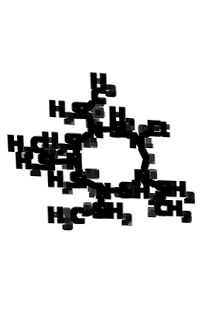 CCN1CN([SiH2]C)[SiH2]N([SiH2]C)[SiH2]N([SiH2]C)[SiH2]N([SiH2]C)[SiH2]1